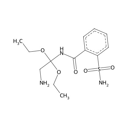 CCOC(CN)(NC(=O)c1ccccc1S(N)(=O)=O)OCC